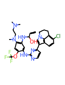 C=CC(O)Nc1cc(Nc2nccc(-c3cn4c5c(c(Cl)ccc35)CCC4)n2)c(OC(F)(F)F)cc1N(C)CCN(C)C